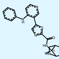 O=C(N[C@@H]1C2CCC1NC2)c1ncc(-c2cnccc2Nc2ccccc2)s1